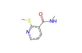 CNC(=O)c1cccnc1SC